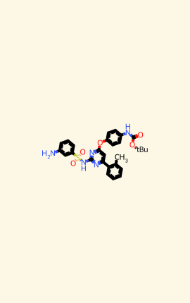 Cc1ccccc1-c1cc(Oc2ccc(NC(=O)OC(C)(C)C)cc2)nc(NS(=O)(=O)c2cccc(N)c2)n1